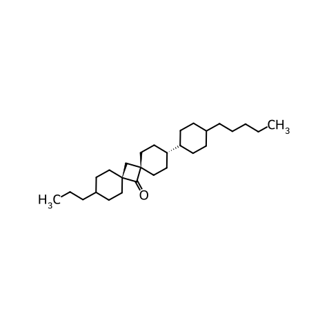 CCCCCC1CCC([C@H]2CC[C@]3(CC2)C[C@@]2(CCC(CCC)CC2)C3=O)CC1